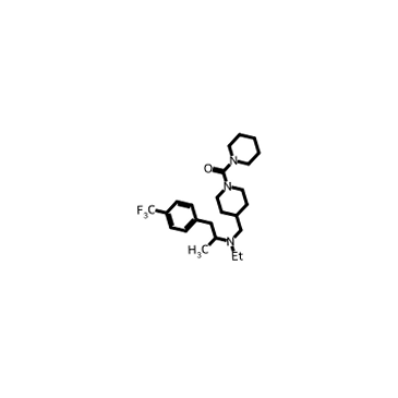 CCN(CC1CCN(C(=O)N2CCCCC2)CC1)C(C)Cc1ccc(C(F)(F)F)cc1